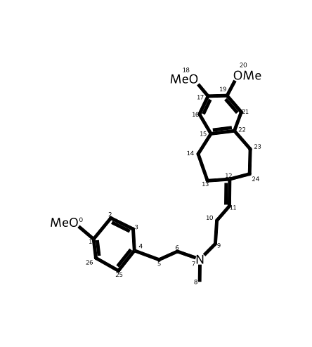 COc1ccc(CCN(C)CCC=C2CCc3cc(OC)c(OC)cc3CC2)cc1